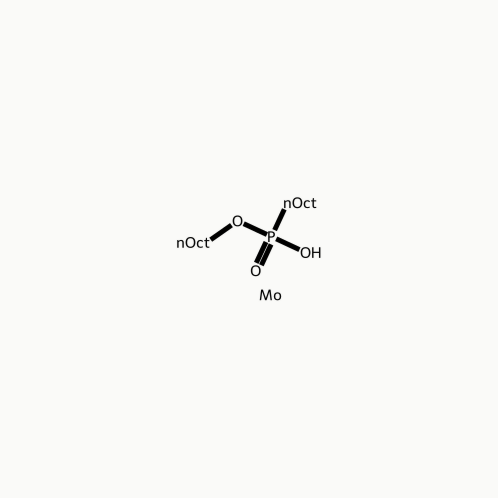 CCCCCCCCOP(=O)(O)CCCCCCCC.[Mo]